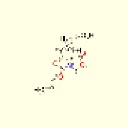 C=CCOC(=O)N1COC(=O)[C@@]12CC[C@H]1[C@H](C(=O)O)[C@H]12